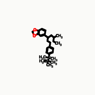 CCC(C)CC(CCc1ccc([Si](C)(C)[Si](C)(C)C)cc1)c1ccc2c(c1)OCO2